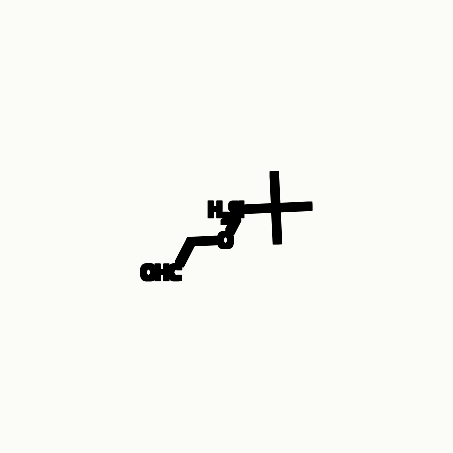 CC(C)(C)[SiH2]OCC=O